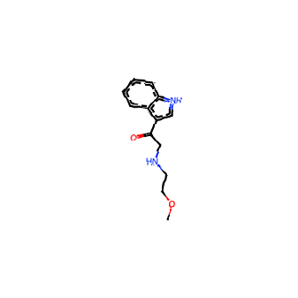 COCCNCC(=O)c1c[nH]c2[c]cccc12